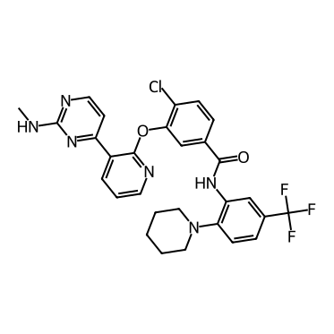 CNc1nccc(-c2cccnc2Oc2cc(C(=O)Nc3cc(C(F)(F)F)ccc3N3CCCCC3)ccc2Cl)n1